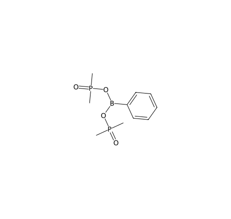 CP(C)(=O)OB(OP(C)(C)=O)c1ccccc1